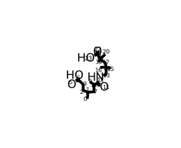 CC(CCC(=O)O)CC(C)C(=O)NCC(C)(C)CC(C)(C)C(=O)O